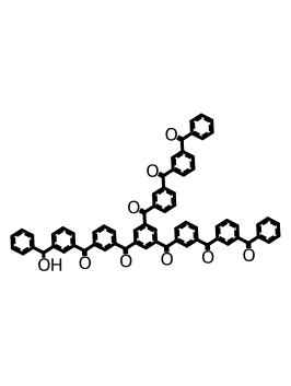 O=C(c1ccccc1)c1cccc(C(=O)c2cccc(C(=O)c3cc(C(=O)c4cccc(C(=O)c5cccc(C(=O)c6ccccc6)c5)c4)cc(C(=O)c4cccc(C(=O)c5cccc(C(O)c6ccccc6)c5)c4)c3)c2)c1